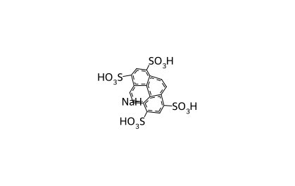 O=S(=O)(O)c1cc(S(=O)(=O)O)c2ccc3c(S(=O)(=O)O)cc(S(=O)(=O)O)c4ccc1c2c43.[NaH]